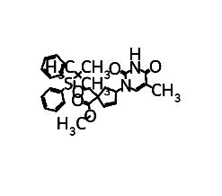 COC(=O)C1(CO[Si](c2ccccc2)(c2ccccc2)C(C)(C)C)C=CC(n2cc(C)c(=O)[nH]c2=O)C1